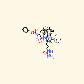 C[Si](C)(C)CC(NC(=O)OCc1ccccc1)C(=O)N[C@@H](CCCNC(N)=O)C(=O)O